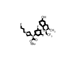 C[C@@H]1Cc2cc(O)ccc2[C@@H](c2c(F)cc(N(C(=O)OC(C)(C)C)C3CN(CCCF)C3)cc2F)N1CC(F)(F)F